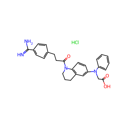 Cl.N=C(N)c1ccc(CCC(=O)N2CCCc3cc(N(CC(=O)O)c4ccccc4)ccc32)cc1